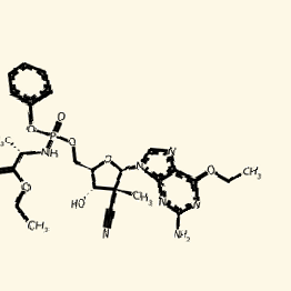 CCOC(=O)[C@H](C)NP(=O)(OC[C@H]1O[C@@H](n2cnc3c(OCC)nc(N)nc32)[C@](C)(C#N)[C@@H]1O)Oc1ccccc1